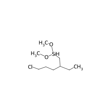 CCC(CCCCl)C[SiH](OC)OC